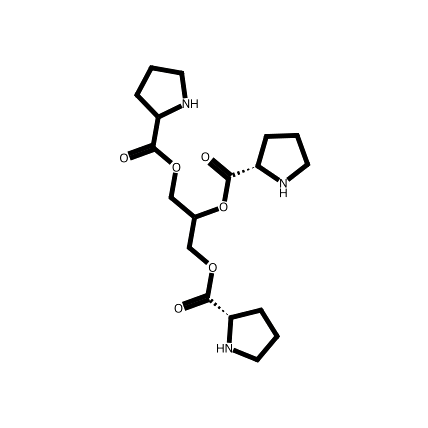 O=C(OCC(COC(=O)[C@@H]1CCCN1)OC(=O)[C@@H]1CCCN1)C1CCCN1